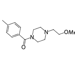 COCCN1CCN(C(=O)c2ccc(C)cc2)CC1